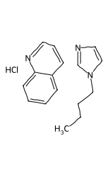 CCCCn1ccnc1.Cl.c1ccc2ncccc2c1